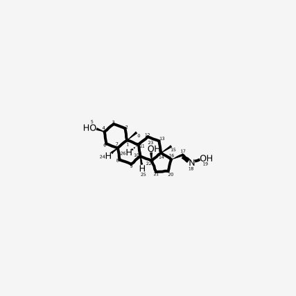 C[C@]12CC[C@H](O)C[C@H]1CC[C@@H]1[C@@H]2CC[C@]2(C)[C@@H](/C=N/O)CC[C@]12O